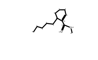 CCCCCC1CCCC=C1C(=O)OC